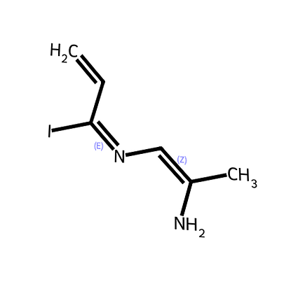 C=C/C(I)=N\C=C(\C)N